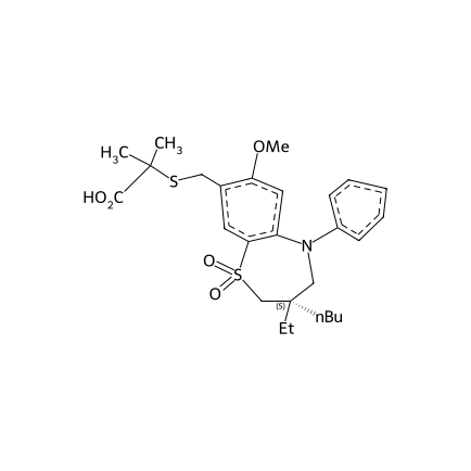 CCCC[C@@]1(CC)CN(c2ccccc2)c2cc(OC)c(CSC(C)(C)C(=O)O)cc2S(=O)(=O)C1